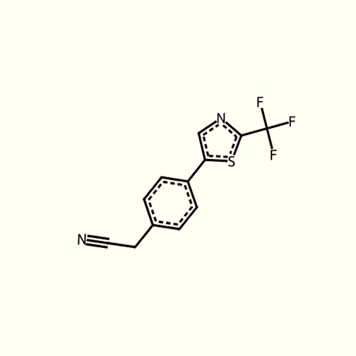 N#CCc1ccc(-c2cnc(C(F)(F)F)s2)cc1